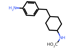 Nc1ccc(CC2CCC(NC(=O)O)CC2)cc1